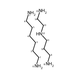 NCCCCCCN.NCCCNCCN